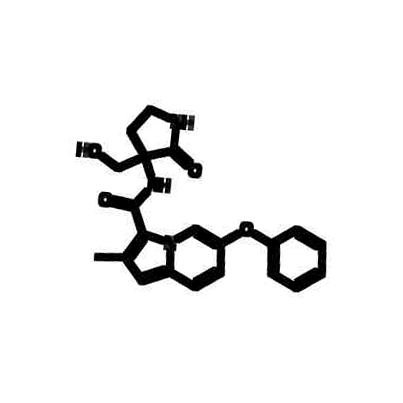 Cc1cc2ccc(Oc3ccccc3)cn2c1C(=O)NC1(CO)CCNC1=O